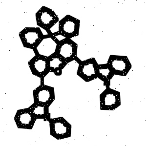 c1ccc(-n2c3ccccc3c3cc(-c4ccc5c6c4oc4c(-c7ccc8c(c7)c7ccccc7n8-c7ccccc7)ccc(c46)C(c4ccccc4)(c4ccccc4)c4ccccc4-5)ccc32)cc1